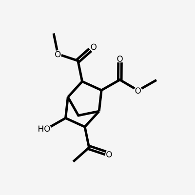 COC(=O)C1C2CC(C(C(C)=O)C2O)C1C(=O)OC